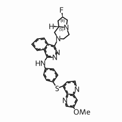 COc1cnc2c(Sc3ccc(Nc4nnc(N5CCN6C[C@H](F)C[C@H]6C5)c5ccccc45)cc3)ccnc2c1